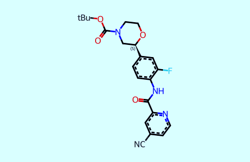 CC(C)(C)OC(=O)N1CCO[C@@H](c2ccc(NC(=O)c3cc(C#N)ccn3)c(F)c2)C1